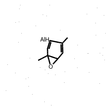 CC1=CC2OC2(C)C=C1.[AlH3]